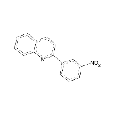 O=[N+]([O-])c1cccc(-c2ccc3ccccc3n2)c1